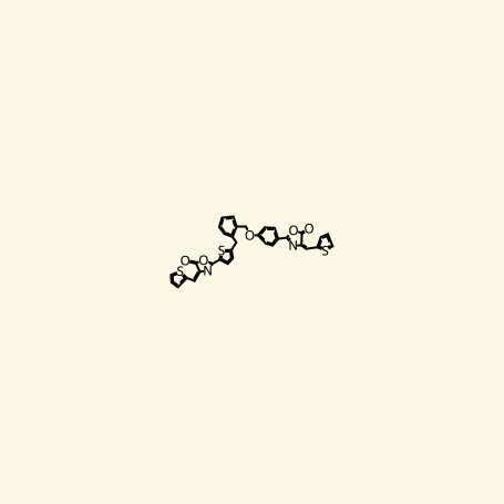 O=C1OC(c2ccc(OCc3ccccc3Cc3ccc(C4=N/C(=C/c5cccs5)C(=O)O4)s3)cc2)=N/C1=C/c1cccs1